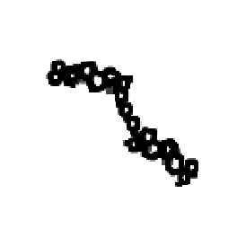 COC1(OC)CC[C@@]23O[C@@]2(CCC2C3=CC[C@@]3(C)C2CC[C@@]3(COCOCOC[C@]2(OC)CCC3C4CC[C@@]56CC(OC)(OC)CC[C@@]5(O6)C4=CC[C@@]32C)OC)C1